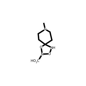 CN1CCC2(CC1)NON(C(=O)O)O2